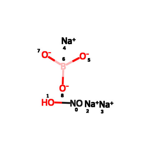 O=NO.[Na+].[Na+].[Na+].[O-]B([O-])[O-]